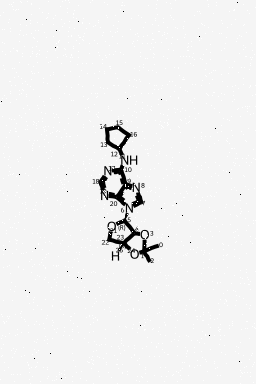 CC1(C)OC2[C@H](n3cnc4c(NC5CCCC5)ncnc43)O[CH][C@H]2O1